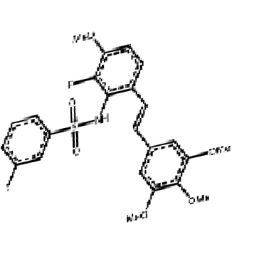 COc1ccc(C=Cc2cc(OC)c(OC)c(OC)c2)c(NS(=O)(=O)c2cccc(F)c2)c1F